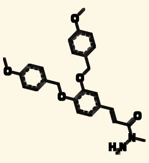 COc1ccc(COc2ccc(C=CC(=O)N(C)N)cc2OCc2ccc(OC)cc2)cc1